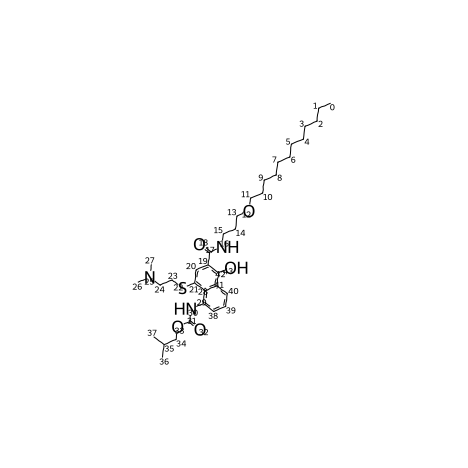 CCCCCCCCCCCCOCCCNC(=O)c1cc(SCCN(C)C)c2c(NC(=O)OCC(C)C)cccc2c1O